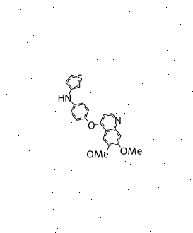 COc1cc2nccc(Oc3ccc(Nc4ccsc4)cc3)c2cc1OC